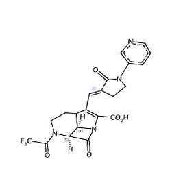 O=C(O)C1=C(/C=C2\CCN(c3cccnc3)C2=O)C2CCN(C(=O)C(F)(F)F)[C@@H]3C(=O)N1[C@H]23